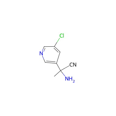 CC(N)(C#N)c1cncc(Cl)c1